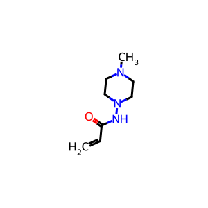 C=CC(=O)NN1CCN(C)CC1